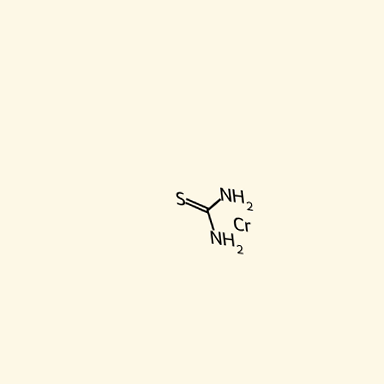 NC(N)=S.[Cr]